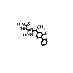 CC(c1ccc(-c2ccccc2)c(F)c1)c1n[nH]c(NC(N)=S)n1